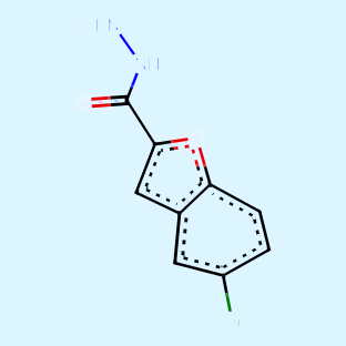 NNC(=O)c1cc2cc(Br)ccc2o1